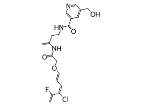 C=C(CCNC(=O)c1cncc(CO)c1)NC(=O)CO/C=C/C=C(/Cl)C(=C)F